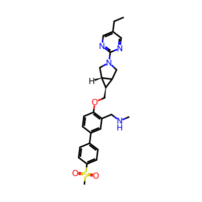 CCc1cnc(N2CC3[C@@H](COc4ccc(-c5ccc(S(C)(=O)=O)cc5)cc4CNC)[C@@H]3C2)nc1